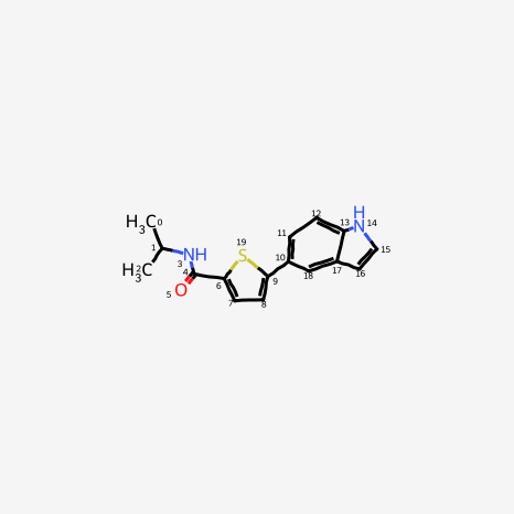 CC(C)NC(=O)c1ccc(-c2ccc3[nH]ccc3c2)s1